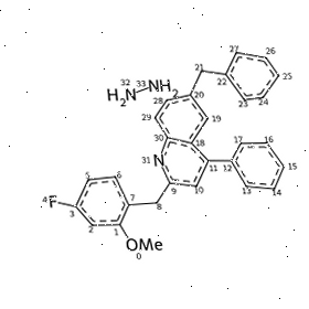 COc1cc(F)ccc1Cc1cc(-c2ccccc2)c2cc(Cc3ccccc3)ccc2n1.NN